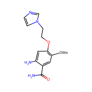 COc1cc(C(N)=O)c(N)cc1OCCn1ccnc1